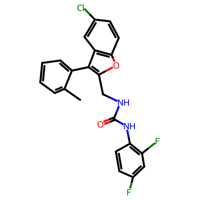 Cc1ccccc1-c1c(CNC(=O)Nc2ccc(F)cc2F)oc2ccc(Cl)cc12